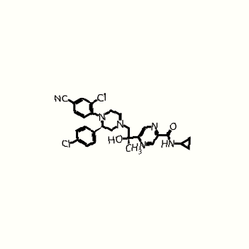 C[C@@](O)(CN1CCN(c2ccc(C#N)cc2Cl)[C@H](c2ccc(Cl)cc2)C1)c1cnc(C(=O)NC2CC2)cn1